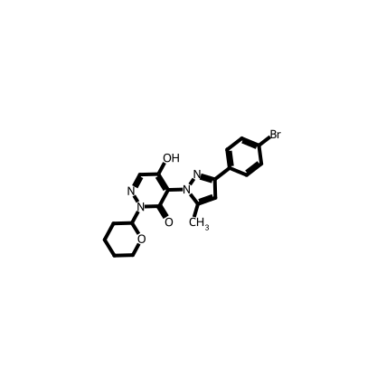 Cc1cc(-c2ccc(Br)cc2)nn1-c1c(O)cnn(C2CCCCO2)c1=O